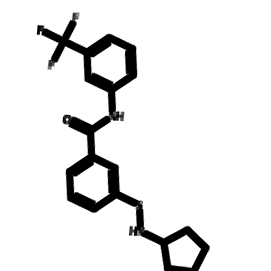 O=C(Nc1cccc(C(F)(F)F)c1)c1cccc(SNC2CCCC2)c1